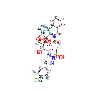 O=C(O)C[C@@H]1[C@H](n2cc(-c3cc(F)c(Cl)c(F)c3)nn2)[C@@H](O)[C@@H](CO)O[C@H]1C(=O)N(Cc1ccccc1C(F)(F)F)[C@H]1CCCC[C@@H]1O